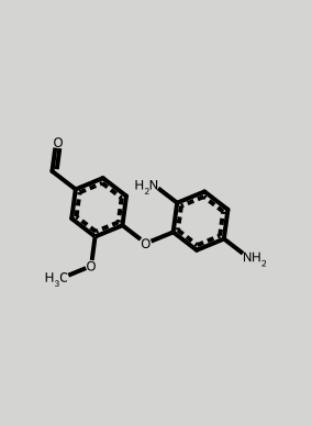 COc1cc(C=O)ccc1Oc1cc(N)ccc1N